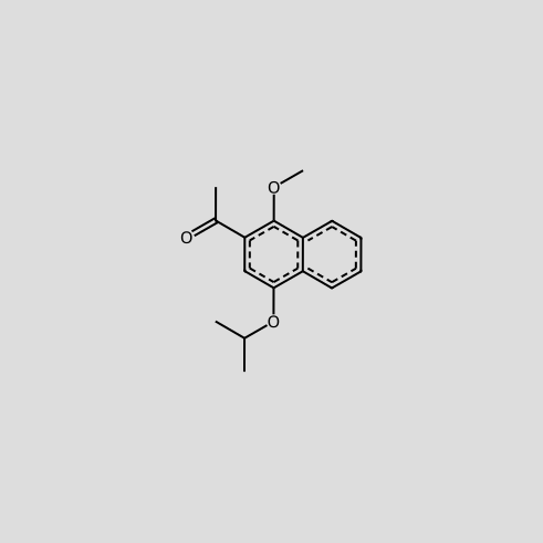 COc1c(C(C)=O)cc(OC(C)C)c2ccccc12